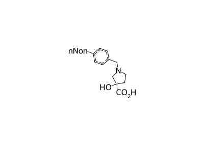 CCCCCCCCCc1ccc(CN2CC[C@](O)(C(=O)O)C2)cc1